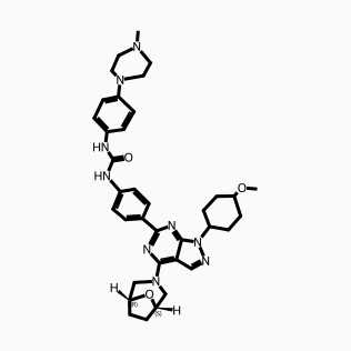 COC1CCC(n2ncc3c(N4C[C@H]5CC[C@@H](C4)O5)nc(-c4ccc(NC(=O)Nc5ccc(N6CCN(C)CC6)cc5)cc4)nc32)CC1